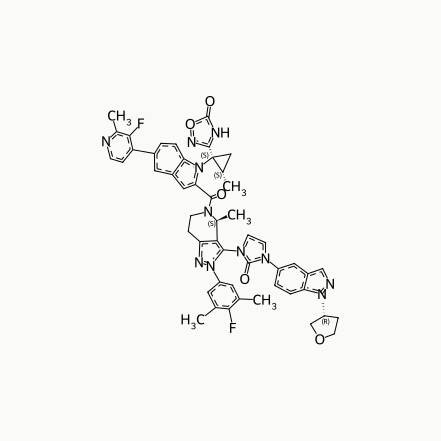 Cc1cc(-n2nc3c(c2-n2ccn(-c4ccc5c(cnn5[C@@H]5CCOC5)c4)c2=O)[C@H](C)N(C(=O)c2cc4cc(-c5ccnc(C)c5F)ccc4n2[C@@]2(c4noc(=O)[nH]4)C[C@@H]2C)CC3)cc(C)c1F